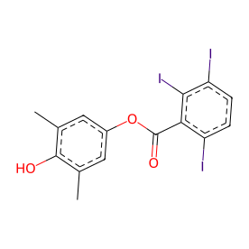 Cc1cc(OC(=O)c2c(I)ccc(I)c2I)cc(C)c1O